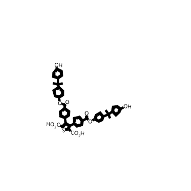 CC(C)(c1ccc(O)cc1)c1ccc(OC(=O)c2ccc(-c3c(C(=O)O)sc(C(=O)O)c3-c3ccc(C(=O)Oc4ccc(C(C)(C)c5ccc(O)cc5)cc4)cc3)cc2)cc1